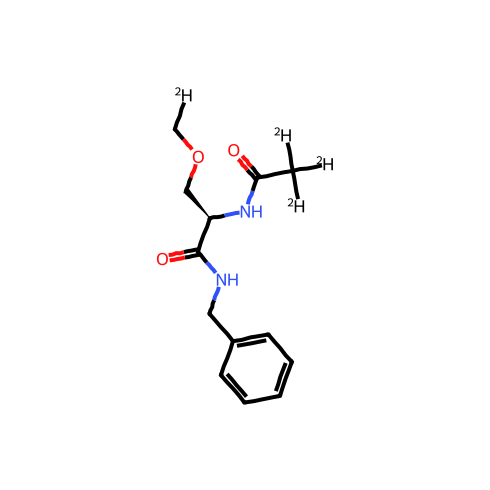 [2H]COC[C@@H](NC(=O)C([2H])([2H])[2H])C(=O)NCc1ccccc1